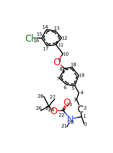 CC(CCCc1ccc(OCc2cccc(Cl)c2)cc1)N(C)C(=O)OC(C)(C)C